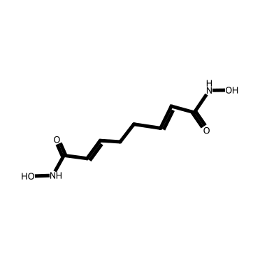 O=C(C=CCCC=CC(=O)NO)NO